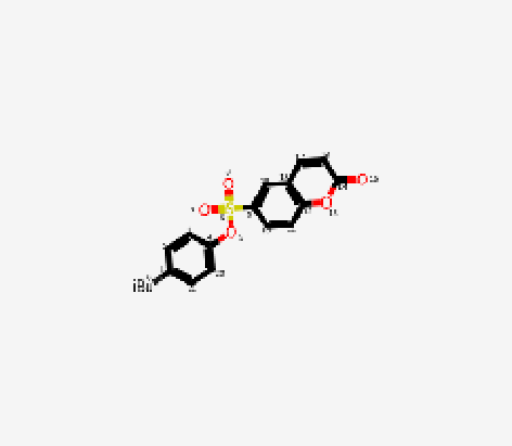 CCC(C)c1ccc(OS(=O)(=O)c2ccc3oc(=O)ccc3c2)cc1